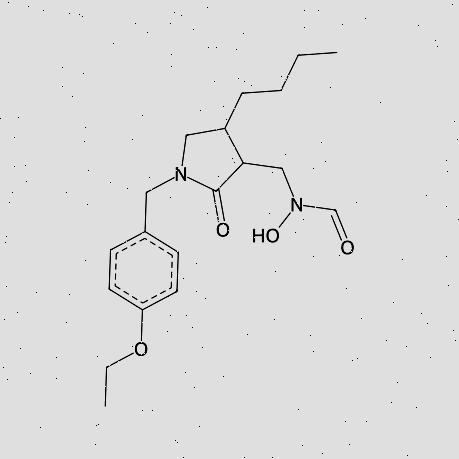 CCCCC1CN(Cc2ccc(OCC)cc2)C(=O)C1CN(O)C=O